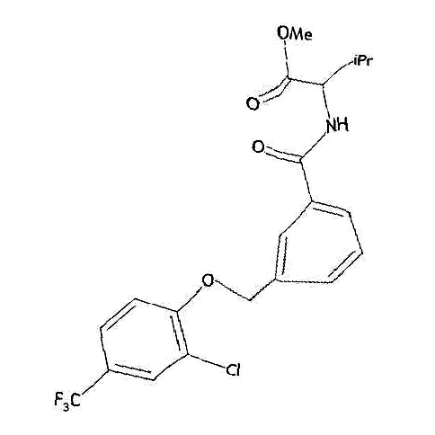 COC(=O)C(NC(=O)c1cccc(COc2ccc(C(F)(F)F)cc2Cl)c1)C(C)C